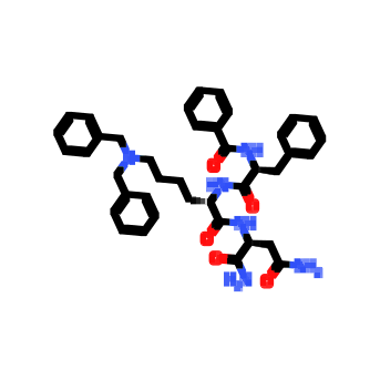 NC(=O)C[C@H](NC(=O)[C@H](CCCCN(Cc1ccccc1)Cc1ccccc1)NC(=O)[C@H](Cc1ccccc1)NC(=O)c1ccccc1)C(N)=O